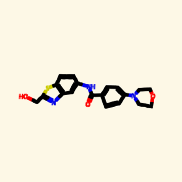 O=C(Nc1ccc2sc(CO)nc2c1)c1ccc(N2CCOCC2)cc1